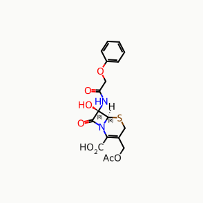 CC(=O)OCC1=C(C(=O)O)N2C(=O)[C@](O)(NC(=O)COc3ccccc3)[C@H]2SC1